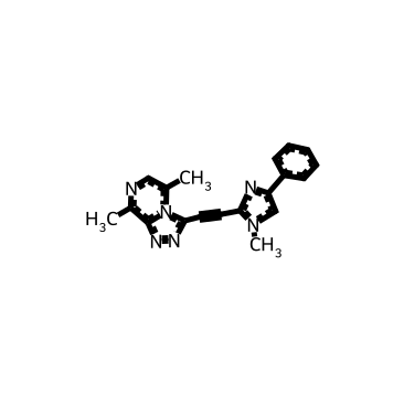 Cc1ncc(C)n2c(C#Cc3nc(-c4ccccc4)cn3C)nnc12